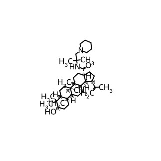 C=C(C)[C@@H]1CC[C@]2(C(=O)NC(C)(C)CN3CCCCC3)CC[C@]3(C)[C@H](CC[C@@H]4[C@@]5(C)CC[C@H](O)C(C)(C)[C@@H]5CC[C@]43C)[C@@H]12